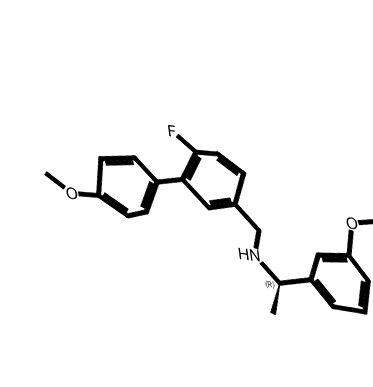 COc1ccc(-c2cc(CN[C@H](C)c3cccc(OC)c3)ccc2F)cc1